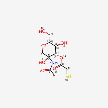 CC(=O)N[C@]1(O)[CH]O[C@H](CO)[C@@H](O)[C@@H]1OC(=O)CS